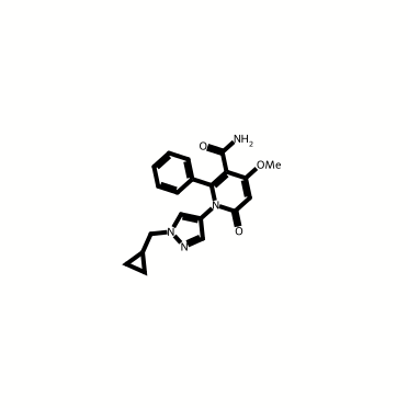 COc1cc(=O)n(-c2cnn(CC3CC3)c2)c(-c2ccccc2)c1C(N)=O